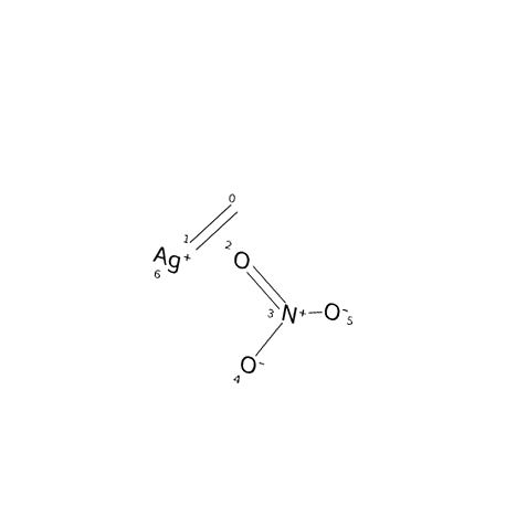 C=C.O=[N+]([O-])[O-].[Ag+]